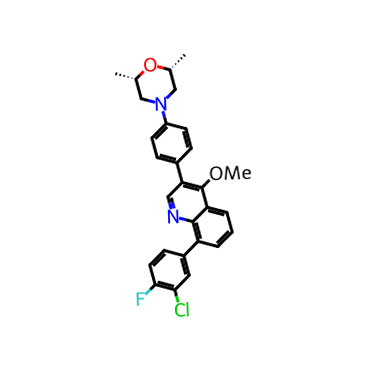 COc1c(-c2ccc(N3C[C@@H](C)O[C@@H](C)C3)cc2)cnc2c(-c3ccc(F)c(Cl)c3)cccc12